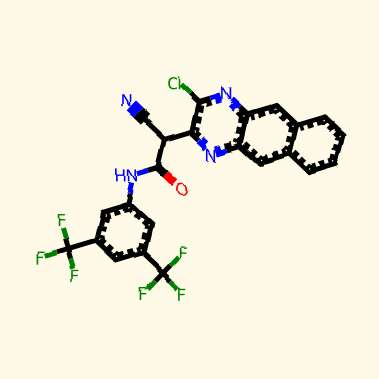 N#CC(C(=O)Nc1cc(C(F)(F)F)cc(C(F)(F)F)c1)c1nc2cc3ccccc3cc2nc1Cl